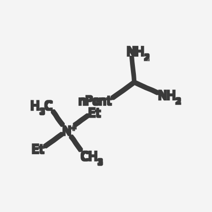 CCCCCC(N)N.CC[N+](C)(C)CC